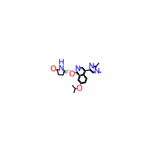 Cc1nc(-c2cnc(OC[C@@H]3CCC(=O)N3)c3cc(OC(C)C)ccc23)cn1C